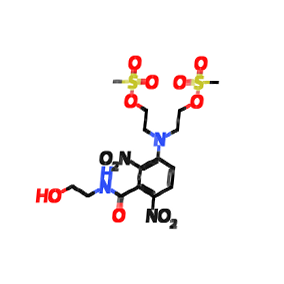 CS(=O)(=O)OCCN(CCOS(C)(=O)=O)c1ccc([N+](=O)[O-])c(C(=O)NCCO)c1[N+](=O)[O-]